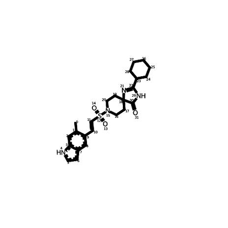 Cc1cc2[nH]ccc2cc1C=CS(=O)(=O)N1CCC2(CC1)N=C(C1CCCCC1)NC2=O